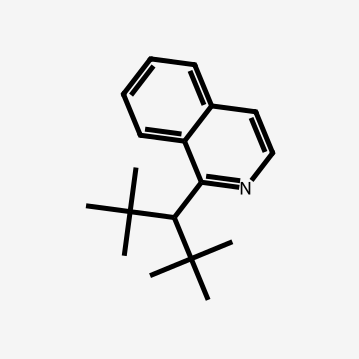 CC(C)(C)C(c1nccc2ccccc12)C(C)(C)C